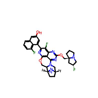 Oc1cc(-c2nc3c4c(nc(OC[C@@]56CCCN5C[C@H](F)C6)nc4c2F)N2C[C@@H]4CC[C@@H](N4)C2CO3)c2c(F)cccc2c1